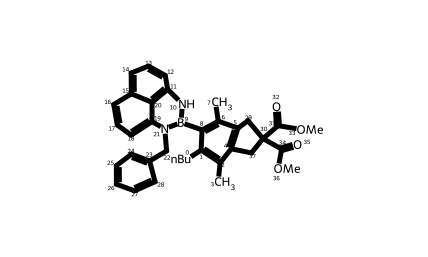 CCCCc1c(C)c2c(c(C)c1B1Nc3cccc4cccc(c34)N1Cc1ccccc1)CC(C(=O)OC)(C(=O)OC)C2